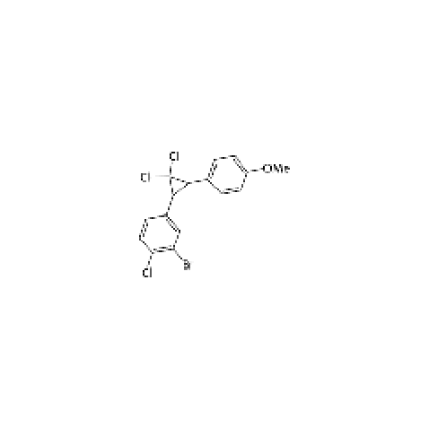 COc1ccc(C2C(c3ccc(Cl)c(Br)c3)C2(Cl)Cl)cc1